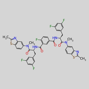 Cc1nc2cc(N(C)C(=O)[C@H](Cc3cc(F)cc(F)c3)NC(=O)c3ccc(F)c(C(=O)N[C@@H](Cc4cc(F)cc(F)c4)C(=O)N(C)c4ccc5sc(C)nc5c4)c3)ccc2s1